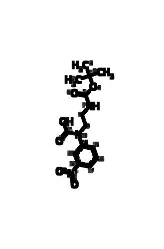 CC(C)(C)OC(=O)NCCN(C(=O)O)c1cccc([N+](=O)[O-])c1